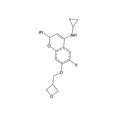 CC(C)C1C=C(NC2CC2)c2cc(F)c(OCC3COC3)cc2O1